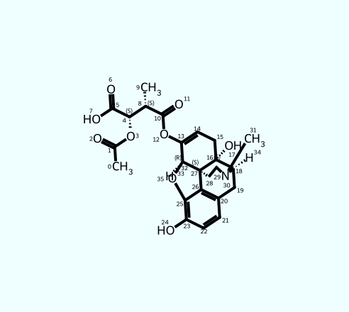 CC(=O)O[C@H](C(=O)O)[C@H](C)C(=O)OC1=CC[C@@]2(O)[C@H]3Cc4ccc(O)c5c4[C@@]2(CCN3C)[C@H]1O5